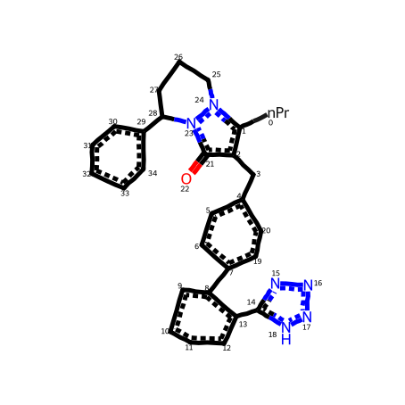 CCCc1c(Cc2ccc(-c3ccccc3-c3nnn[nH]3)cc2)c(=O)n2n1CCCC2c1ccccc1